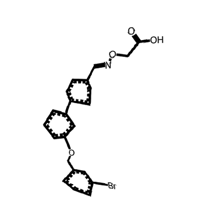 O=C(O)CON=Cc1ccc(-c2cccc(OCc3cccc(Br)c3)c2)cc1